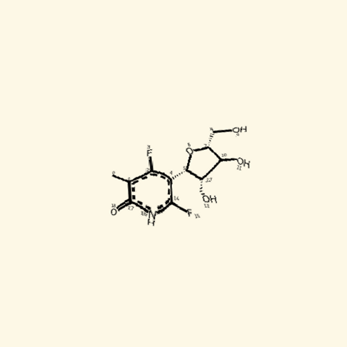 Cc1c(F)c([C@@H]2O[C@H](CO)C(O)[C@@H]2O)c(F)[nH]c1=O